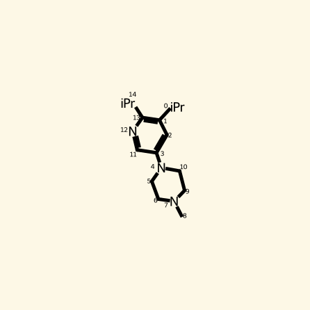 CC(C)c1cc(N2CCN(C)CC2)cnc1C(C)C